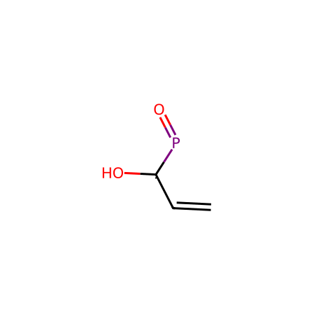 C=C[C](O)P=O